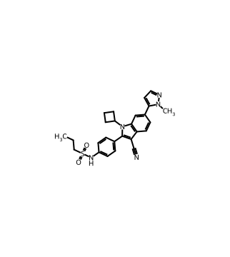 CCCS(=O)(=O)Nc1ccc(-c2c(C#N)c3ccc(-c4ccnn4C)cc3n2C2CCC2)cc1